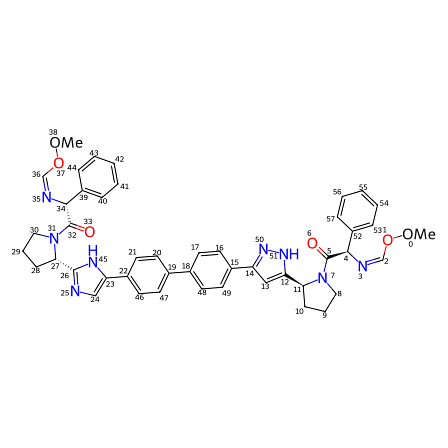 COO/C=N\[C@@H](C(=O)N1CCC[C@H]1c1cc(-c2ccc(-c3ccc(-c4cnc([C@@H]5CCCN5C(=O)[C@H](/N=C\OOC)c5ccccc5)[nH]4)cc3)cc2)n[nH]1)c1ccccc1